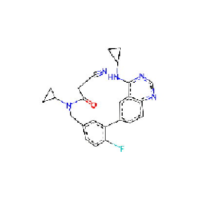 N#CCC(=O)N(Cc1ccc(F)c(-c2ccc3ncnc(NC4CC4)c3c2)c1)C1CC1